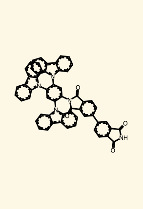 O=C1NC(=O)c2cc(-c3ccc4c(c3)C(=O)N(c3cc(-n5c6ccccc6c6ccccc65)c(-n5c6ccccc6c6ccccc65)cc3-n3c5ccccc5c5ccccc53)C4=O)ccc21